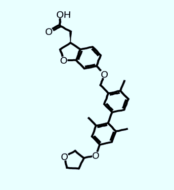 Cc1ccc(-c2c(C)cc(OC3CCOC3)cc2C)cc1COc1ccc2c(c1)OC[C@H]2CC(=O)O